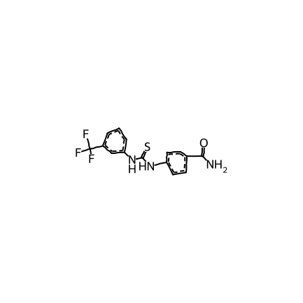 NC(=O)c1ccc(NC(=S)Nc2cccc(C(F)(F)F)c2)cc1